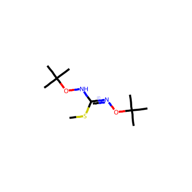 CS/C(=N\OC(C)(C)C)NOC(C)(C)C